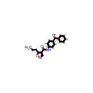 CCCc1oncc1C(=O)Nc1ccc(C(=O)c2ccccc2)cc1